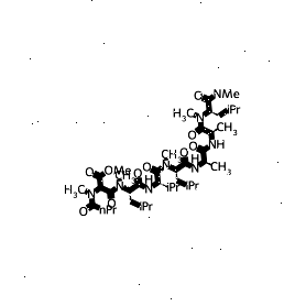 CCCC(=O)N(C)C(C(=O)OC)C(=O)N(C)[C@@H](CC(C)C)C(=O)N[C@H](C(=O)N(C)[C@@H](CC(C)C)C(=O)N[C@@H](C)C(=O)N[C@@H](C)C(=O)N(C)[C@@H](CC(C)C)C(=O)NC)C(C)C